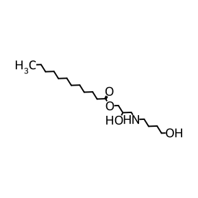 CCCCCCCCCCCC(=O)OCC(O)CNCCCCO